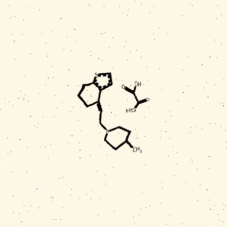 CC1CCN(CC=C2CCCc3sccc32)CC1.O=C(O)C(=O)O